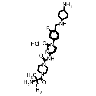 CC(C)(N)C(=O)N1CCN(C(=O)Nc2ccn(-c3ccc(CNC4CCC(N)CC4)c(F)c3)c(=O)n2)CC1.Cl